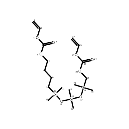 C=COC(=O)OCCCC[Si](C)(C)O[Si](C)(C)O[Si](C)(C)COC(=O)OC=C